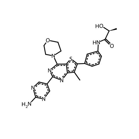 Cc1c(-c2cccc(NC(=O)[C@H](C)O)c2)sc2c(N3CCOCC3)nc(-c3cnc(N)nc3)nc12